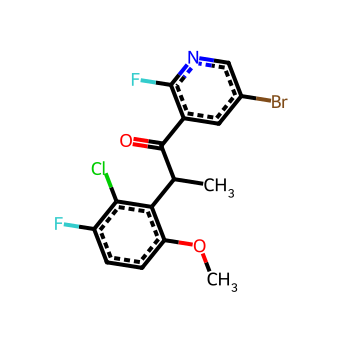 COc1ccc(F)c(Cl)c1C(C)C(=O)c1cc(Br)cnc1F